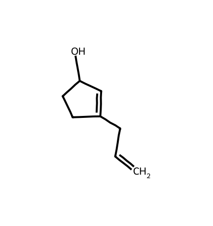 C=CCC1=CC(O)CC1